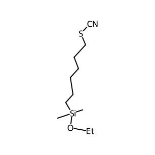 CCO[Si](C)(C)CCCCCCSC#N